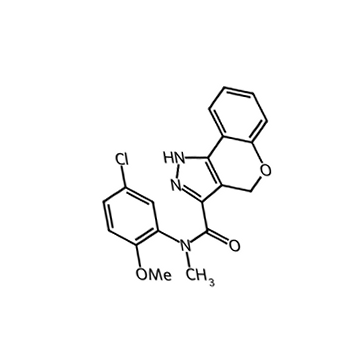 COc1ccc(Cl)cc1N(C)C(=O)c1n[nH]c2c1COc1ccccc1-2